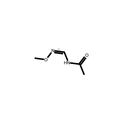 CO/N=C\NC(C)=O